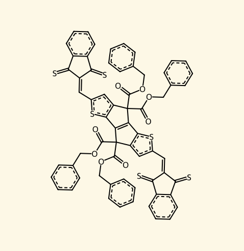 O=C(OCc1ccccc1)C1(C(=O)OCc2ccccc2)C2=C(c3sc(C=C4C(=S)c5ccccc5C4=S)cc31)C(C(=O)OCc1ccccc1)(C(=O)OCc1ccccc1)c1cc(C=C3C(=S)c4ccccc4C3=S)sc12